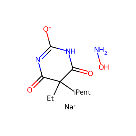 CCCC(C)C1(CC)C(=O)N=C([O-])NC1=O.NO.[Na+]